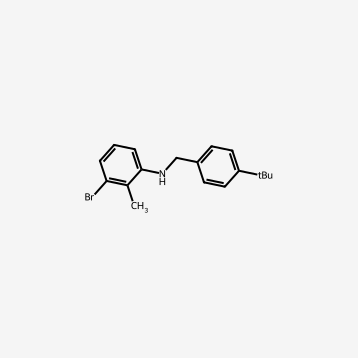 Cc1c(Br)cccc1NCc1ccc(C(C)(C)C)cc1